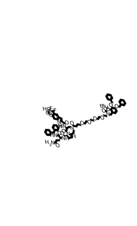 CC(C)(C)OC(=O)N(CCOCCOCCOCCOCCCC(=O)N1CC[C@H]2CC[C@@H](C(=O)N[C@@H](CCC(N)=O)C(=O)NC(c3ccccc3)c3ccccc3)N2C(=O)[C@@H](NC(=O)c2cc3cc(C(F)(F)P(=O)(O)O)ccc3[nH]2)C1)Cc1ccc(OCc2ccccc2)c(OCc2ccccc2)c1